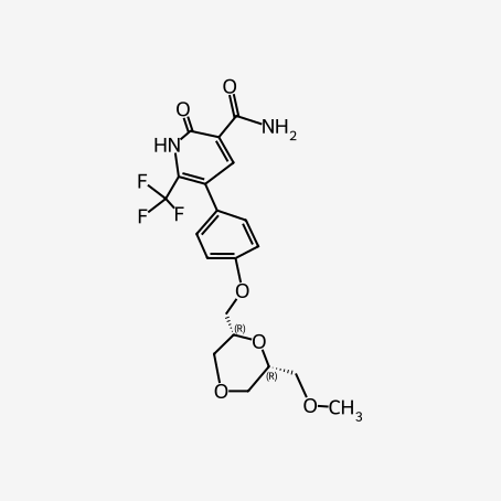 COC[C@@H]1COC[C@H](COc2ccc(-c3cc(C(N)=O)c(=O)[nH]c3C(F)(F)F)cc2)O1